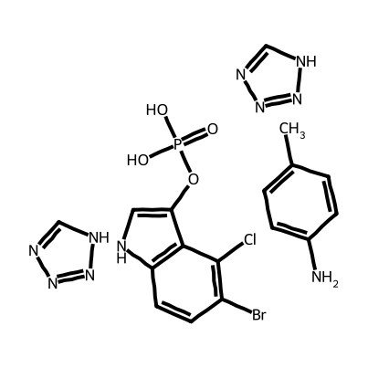 Cc1ccc(N)cc1.O=P(O)(O)Oc1c[nH]c2ccc(Br)c(Cl)c12.c1nnn[nH]1.c1nnn[nH]1